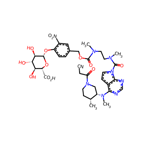 C[C@@H]1CCN(C(=O)CC#N)C[C@@H]1N(C)c1ncnc2c1ccn2C(=O)N(C)CCN(C)C(=O)OCc1ccc(O[C@@H]2O[C@H](C(=O)O)[C@@H](O)[C@H](O)[C@H]2O)c([N+](=O)[O-])c1